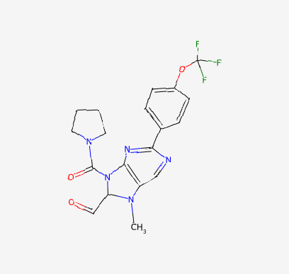 CN1c2cnc(-c3ccc(OC(F)(F)F)cc3)nc2N(C(=O)N2CCCC2)C1C=O